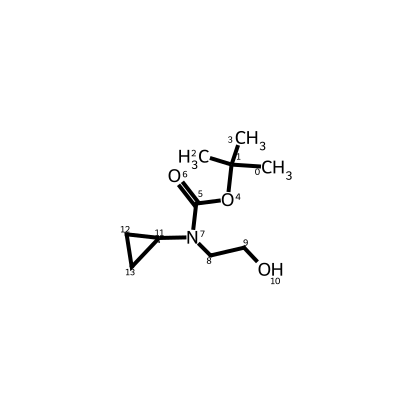 CC(C)(C)OC(=O)N(CCO)[C]1CC1